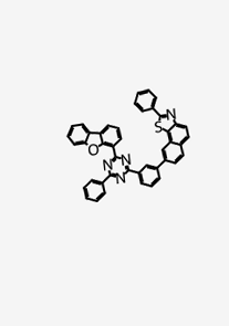 c1ccc(-c2nc(-c3cccc(-c4ccc5ccc6nc(-c7ccccc7)sc6c5c4)c3)nc(-c3cccc4c3oc3ccccc34)n2)cc1